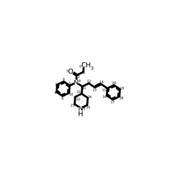 CCC(=O)N(c1ccccc1)C(CC=Cc1ccccc1)C1CCNCC1